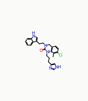 Cc1cc(CN(CCc2c[nH]c3ccccc23)C(=O)NCCCc2c[nH]cn2)ccc1Cl